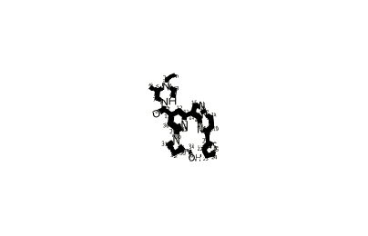 CCN(CC)C(C)CNC(=O)c1cc(-c2cnn3ccc(-c4cccs4)nc23)nc(N2CC[C@H]2CO)c1